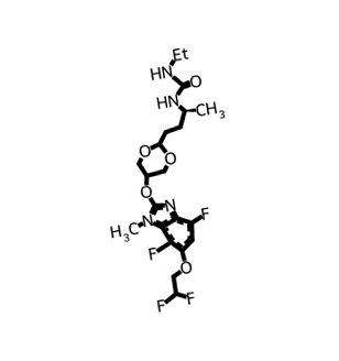 CCNC(=O)N[C@@H](C)CCC1OCC(Oc2nc3c(F)cc(OCC(F)F)c(F)c3n2C)CO1